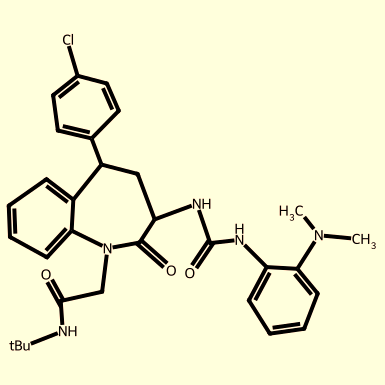 CN(C)c1ccccc1NC(=O)NC1CC(c2ccc(Cl)cc2)c2ccccc2N(CC(=O)NC(C)(C)C)C1=O